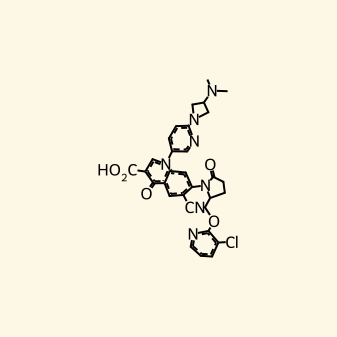 CN(C)C1CN(c2ccc(-n3cc(C(=O)O)c(=O)c4cc(C#N)c(N5C(=O)CCC5COc5ncccc5Cl)cc43)cn2)C1